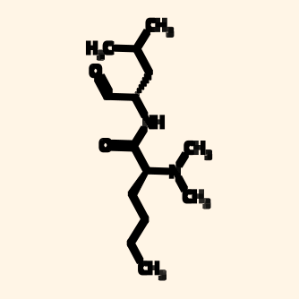 CCCC[C@@H](C(=O)N[C@H](C=O)CC(C)C)N(C)C